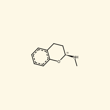 CN[C@@H]1CCc2ccccc2O1